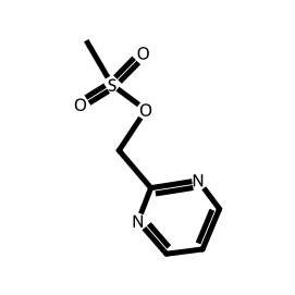 CS(=O)(=O)OCc1ncccn1